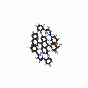 Cc1cc(-c2c3cc(-n4c(-c5ccccc5)ccc4-c4ccccc4)ccc3c(-c3cccc4ccccc34)c3cc(-n4c(-c5ccccc5)ccc4-c4ccccc4)ccc23)cc(C)c1C